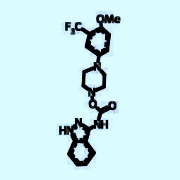 COc1ccc(N2CCN(OC(=O)Nc3n[nH]c4ccccc34)CC2)cc1C(F)(F)F